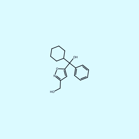 OCc1cc(C(O)(c2ccccc2)C2CCCCC2)on1